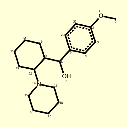 COc1ccc(C(O)C2CCCCC2N2CCCCC2)cc1